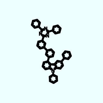 c1ccc(-c2ccc3c(c2)c2c(-c4cccc(-c5cccc(-c6nc(-c7ccccc7)nc(-c7ccccc7)n6)c5)c4)cccc2n3-c2ccccc2)cc1